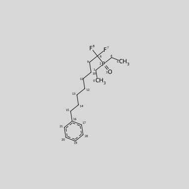 CCP(=O)(CC)C(F)(F)CCCCCCCc1ccccc1